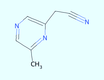 Cc1cncc(CC#N)n1